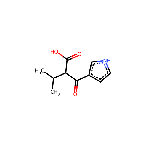 CC(C)C(C(=O)O)C(=O)c1cc[nH]c1